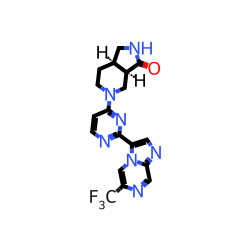 O=C1NC[C@@H]2CCN(c3ccnc(-c4cnc5cnc(C(F)(F)F)cn45)n3)C[C@H]12